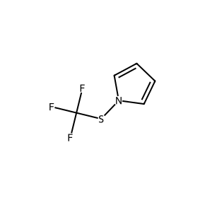 FC(F)(F)Sn1cccc1